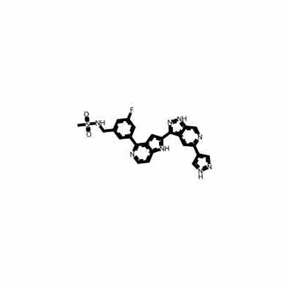 CS(=O)(=O)NCc1cc(F)cc(-c2nccc3[nH]c(-c4n[nH]c5cnc(-c6cn[nH]c6)cc45)cc23)c1